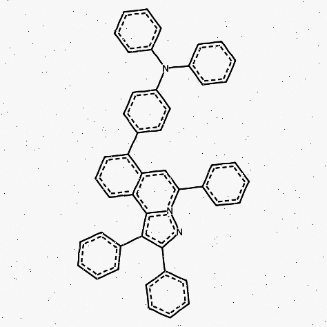 c1ccc(-c2nn3c(-c4ccccc4)cc4c(-c5ccc(N(c6ccccc6)c6ccccc6)cc5)cccc4c3c2-c2ccccc2)cc1